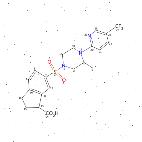 CC1CN(S(=O)(=O)c2ccc3c(c2)C(C(=O)O)CC3)CCN1c1ccc(C(F)(F)F)cn1